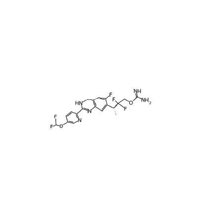 C[C@H](c1cc2c(cc1F)CNC(c1ccc(OC(F)F)cn1)=N2)C(F)(F)COC(=N)N